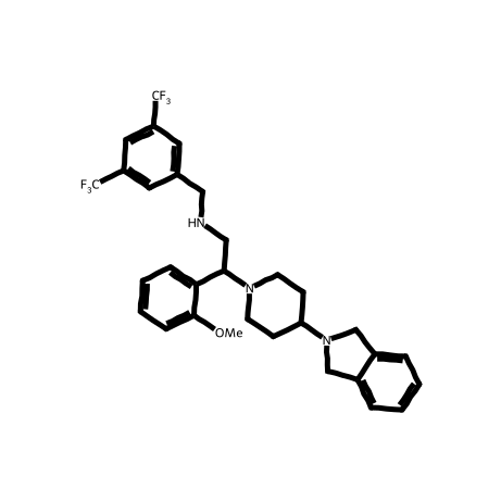 COc1ccccc1C(CNCc1cc(C(F)(F)F)cc(C(F)(F)F)c1)N1CCC(N2Cc3ccccc3C2)CC1